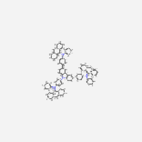 c1ccc(N(c2ccc(-c3ccc4c(c3)c3cc(-c5ccc(N(c6ccccc6)c6c7ccccc7cc7ccccc67)cc5)ccc3n4-c3ccc(N(c4ccccc4)c4c5ccccc5cc5ccccc45)cc3)cc2)c2c3ccccc3cc3ccccc23)cc1